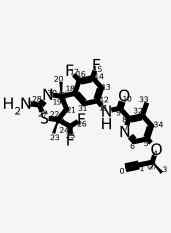 C#C[C@H](C)Oc1cnc(C(=O)Nc2cc(F)c(F)c([C@]3(C)C[C@](C)(C(F)F)SC(N)=N3)c2)c(C)c1